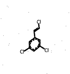 ClC=Cc1cc(Cl)cc(Cl)c1